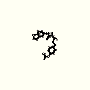 CC(=O)Oc1ccc(CCC(C)NC(=O)Nc2ccc3c(c2)OCO3)cc1